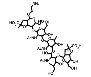 CC(=O)NC(C(O)OC1C(O)C(C)OC(OC2C(O)C(CO)OC(OC3C(CO)OC(OCCN)C4C[C@@](C)(C(=O)O)OC43)C2NC(C)=O)C1NC(C)=O)C(OC1OC(CO)C(O)C2O[C@](C)(C(=O)O)CC12)C(O)C(C)CO